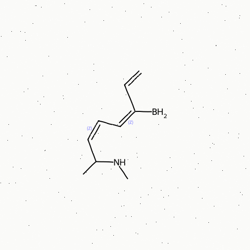 B/C(C=C)=C/C=C\C(C)NC